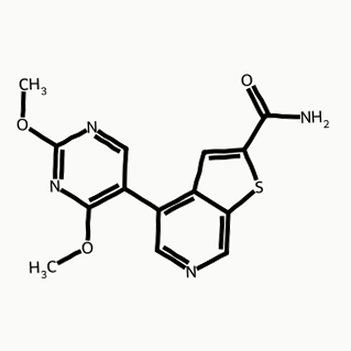 COc1ncc(-c2cncc3sc(C(N)=O)cc23)c(OC)n1